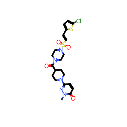 Cn1nc(N2CCC(C(=O)N3CCN(S(=O)(=O)/C=C/c4ccc(Cl)s4)CC3)CC2)ccc1=O